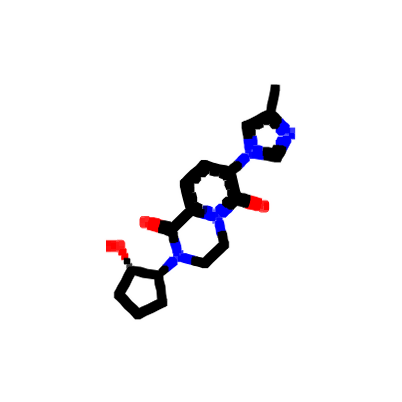 Cc1cn(-c2ccc3n(c2=O)CCN([C@H]2CCC[C@@H]2O)C3=O)cn1